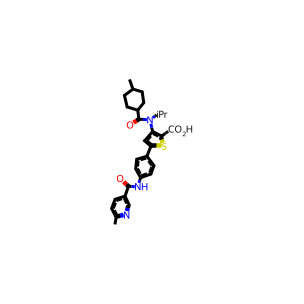 Cc1ccc(C(=O)Nc2ccc(-c3cc(N(C(=O)C4CCC(C)CC4)C(C)C)c(C(=O)O)s3)cc2)cn1